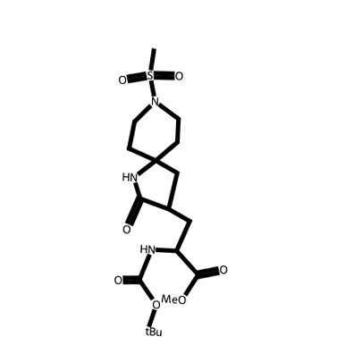 COC(=O)C(CC1CC2(CCN(S(C)(=O)=O)CC2)NC1=O)NC(=O)OC(C)(C)C